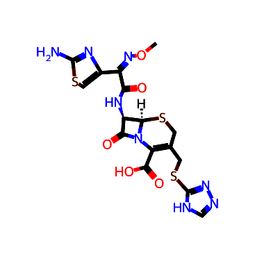 CO/N=C(\C(=O)N[C@@H]1C(=O)N2C(C(=O)O)=C(CSc3nnc[nH]3)CS[C@H]12)c1csc(N)n1